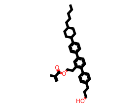 C=C(C)C(=O)OCCc1cc(-c2ccc(C3CCC(CCCCC)CC3)cc2)ccc1-c1ccc(CCCO)cc1